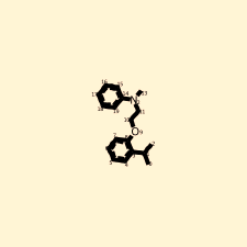 CC(C)c1ccccc1OCCN(C)c1ccccc1